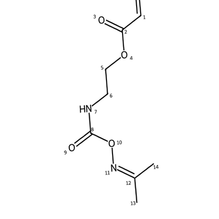 C=CC(=O)OCCNC(=O)ON=C(C)C